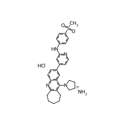 CS(=O)(=O)c1ccc(Nc2cc(-c3ccc4nc5c(c(N6CC[C@H](N)C6)c4c3)CCCCC5)ccn2)cc1.Cl